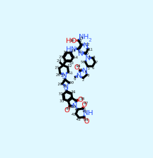 CN1CCN([C@H]2CCCN(c3cnc(C(N)O)c(Nc4ccc(C5(C)CCN(C6CN(c7ccc8c(c7)C(=O)N(C7CCC(=O)NC7=O)C8=O)C6)CC5)cc4)n3)C2)C1=O